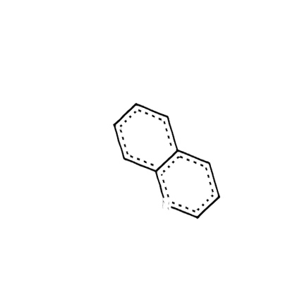 [c]1[c]nc2ccccc2[c]1